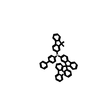 CC1(C)c2ccccc2-c2ccc(N(c3ccc(-c4ccccc4)cc3)c3ccc4c(c3)C(c3ccccc3)(c3cccc5c3sc3ccccc35)c3ccccc3-4)cc21